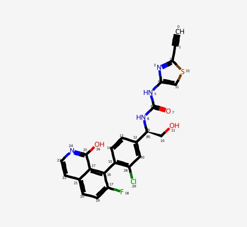 C#Cc1nc(NC(=O)N[C@@H](CO)c2ccc(-c3c(F)ccc4ccnc(O)c34)c(Cl)c2)cs1